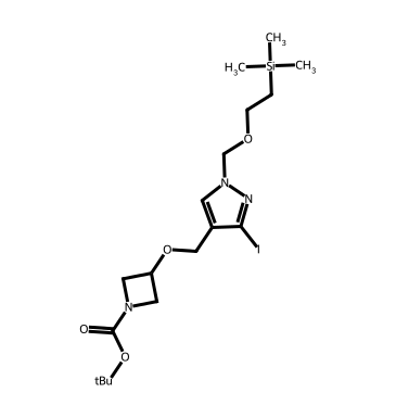 CC(C)(C)OC(=O)N1CC(OCc2cn(COCC[Si](C)(C)C)nc2I)C1